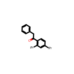 CC(C)c1[c]c(C(C)C)c(C(=O)Cc2ccccc2)cc1